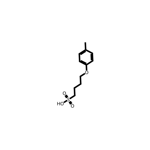 Cc1ccc(OCCCCS(=O)(=O)O)cc1